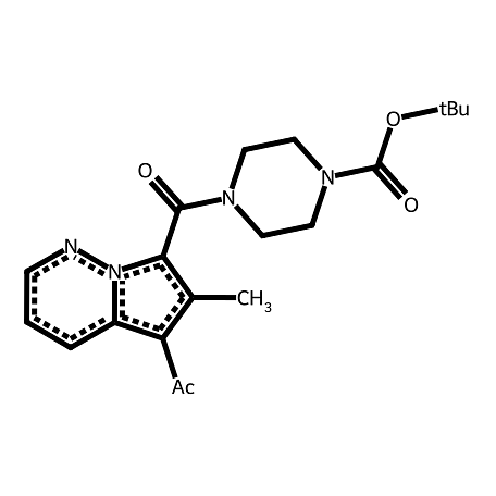 CC(=O)c1c(C)c(C(=O)N2CCN(C(=O)OC(C)(C)C)CC2)n2ncccc12